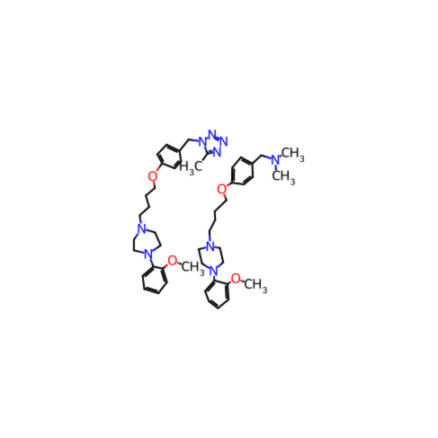 COc1ccccc1N1CCN(CCCCOc2ccc(CN(C)C)cc2)CC1.COc1ccccc1N1CCN(CCCCOc2ccc(Cn3nnnc3C)cc2)CC1